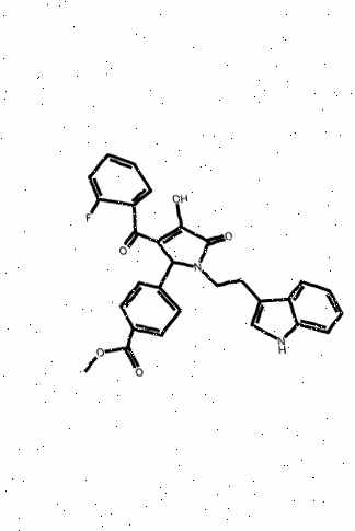 COC(=O)c1ccc(C2C(C(=O)c3ccccc3F)=C(O)C(=O)N2CCc2c[nH]c3ccccc23)cc1